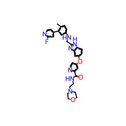 Cc1ccc(NCc2nc3cc(Oc4ccnc(C(=O)NCCN5CCOCC5)c4)ccc3[nH]2)cc1-c1ccnc(F)c1